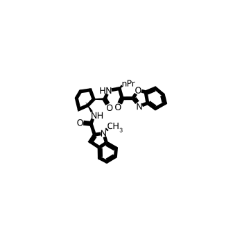 CCC[C@H](NC(=O)[C@@H]1CCCC[C@@H]1NC(=O)c1cc2ccccc2n1C)C(=O)c1nc2ccccc2o1